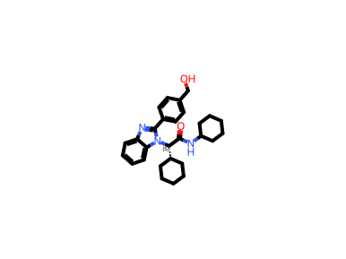 O=C(NC1CCCCC1)[C@H](C1CCCCC1)n1c(-c2ccc(CO)cc2)nc2ccccc21